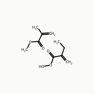 C=C(C)C(=O)OC.C=C(CC)C(=O)OO